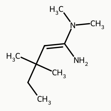 CCC(C)(C)/C=C(\N)N(C)C